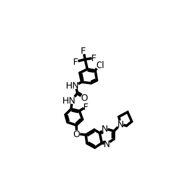 O=C(Nc1ccc(Cl)c(C(F)(F)F)c1)Nc1ccc(Oc2ccc3ncc(N4CCCC4)nc3c2)cc1F